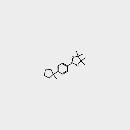 CC1(c2ccc(B3OC(C)(C)C(C)(C)O3)cc2)CCCC1